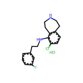 Cl.Fc1cccc(CCNc2c(Cl)ccc3c2CCNCC3)c1